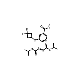 CC(C)OC(=O)N=NC(=O)OC(C)C.COC(=O)c1cncc(OC2CC(F)(F)C2)c1